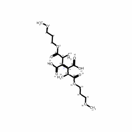 COCCCOC(=O)C(C)/C(C(=O)O)=C(\C(=O)O)C(C)C(=O)OCCCOC